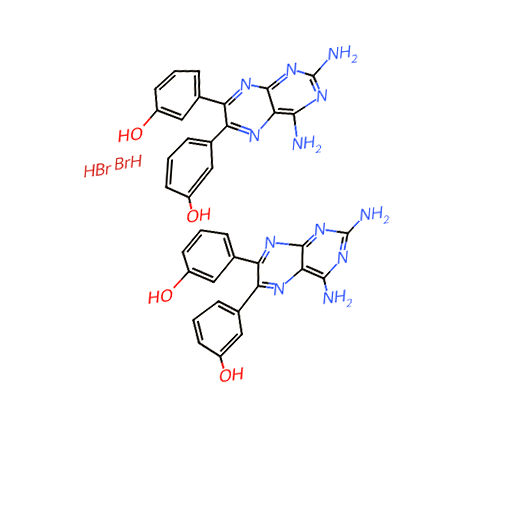 Br.Br.Nc1nc(N)c2nc(-c3cccc(O)c3)c(-c3cccc(O)c3)nc2n1.Nc1nc(N)c2nc(-c3cccc(O)c3)c(-c3cccc(O)c3)nc2n1